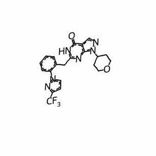 O=c1[nH]c(Cc2ccccc2-n2ccc(C(F)(F)F)n2)nc2c1cnn2C1CCOCC1